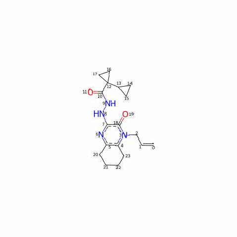 C=CCn1c2c(nc(NNC(=O)C3(C4CC4)CC3)c1=O)CCCC2